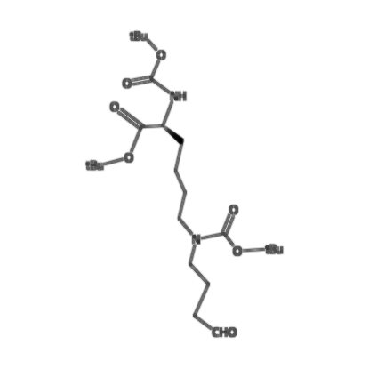 CC(C)(C)OC(=O)N[C@@H](CCCCN(CCCC=O)C(=O)OC(C)(C)C)C(=O)OC(C)(C)C